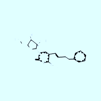 Nc1nc(=O)n([C@@H]2O[C@H](CO)[C@@H](O)[C@H]2O)cc1C=CCCc1ccccc1